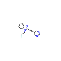 FCCn1c(C#Cc2cncnc2)nc2ccccc21